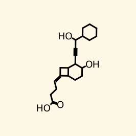 O=C(O)CC/C=C1/CC2C1CCC(O)C2C#CC(O)C1CCCCC1